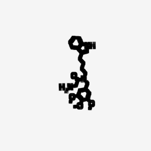 COc1cc(CN(CCCCc2c[nH]c3ccccc23)C(=O)CN)cc(OC)c1OC